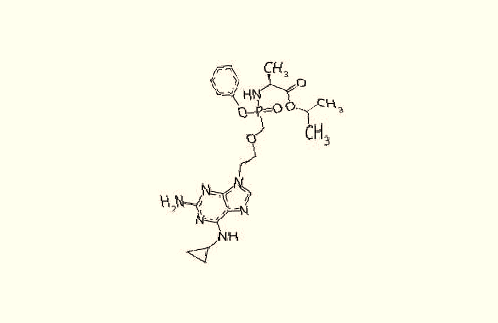 CC(C)OC(=O)[C@H](C)NP(=O)(COCCn1cnc2c(NC3CC3)nc(N)nc21)Oc1ccccc1